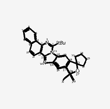 CC(C)(C)c1nc2c3ccccc3ccc2c2nc3cc4c(cc3n12)C1(CCCC1)OC4(C)C